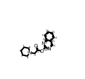 O=C(CN1CCCCC1)Oc1ncc2ccccc2n1